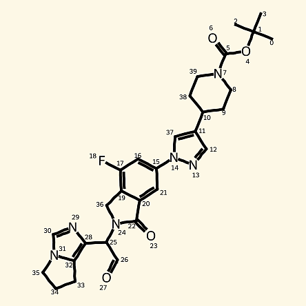 CC(C)(C)OC(=O)N1CCC(c2cnn(-c3cc(F)c4c(c3)C(=O)N(C([C]=O)c3ncn5c3CCC5)C4)c2)CC1